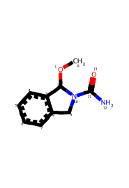 COC1c2ccccc2CN1C(N)=O